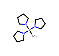 C[Si](N1CCCC1)(N1CCCC1)N1CCCC1